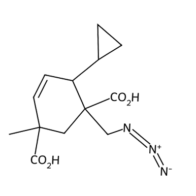 CC1(C(=O)O)C=CC(C2CC2)C(CN=[N+]=[N-])(C(=O)O)C1